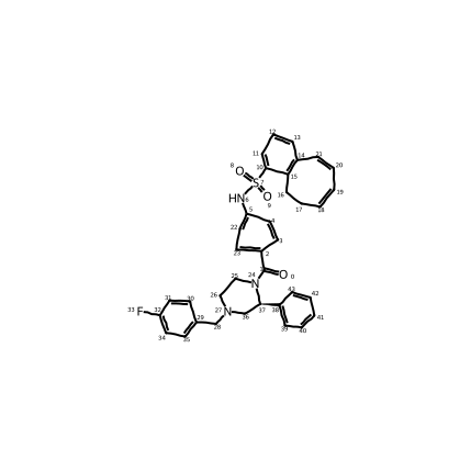 O=C(c1ccc(NS(=O)(=O)c2cccc3c2CC/C=C\C=C/3)cc1)N1CCN(Cc2ccc(F)cc2)C[C@@H]1c1ccccc1